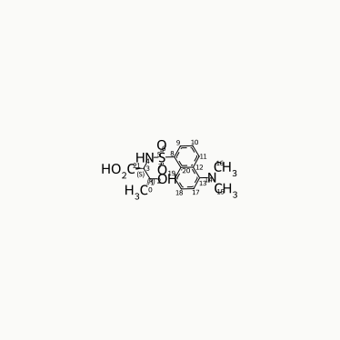 C[C@@H](O)[C@H](NS(=O)(=O)c1cccc2c(N(C)C)cccc12)C(=O)O